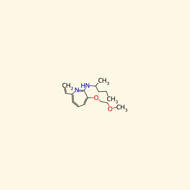 C=CC1=C=CC=C(OCCOC)C(NC(C)CCC)=N1